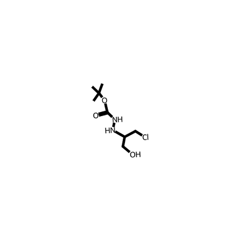 CC(C)(C)OC(=O)NNC(CO)CCl